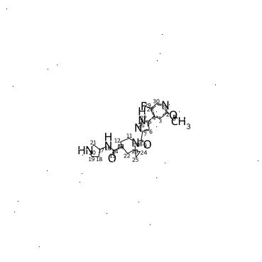 COc1cc(-c2cc(C(=O)N3CC[C@H](C(=O)NC4CCNC4)CC34CC4)n[nH]2)c(F)cn1